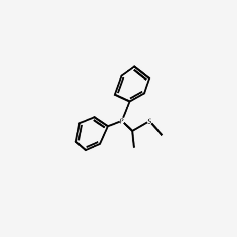 CSC(C)P(c1ccccc1)c1ccccc1